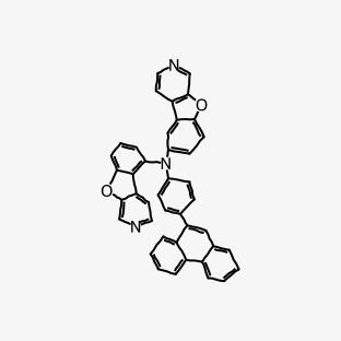 c1ccc2c(c1)cc(-c1ccc(N(c3ccc4oc5cnccc5c4c3)c3cccc4oc5cnccc5c34)cc1)c1ccccc12